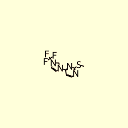 CSc1nccc(N2C=CN(C(F)(F)F)C2)n1